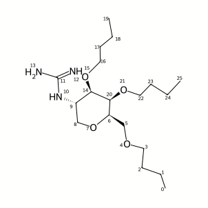 CCCCOC[C@H]1OC[C@H](NC(=N)N)[C@@H](OCCCC)[C@H]1OCCCC